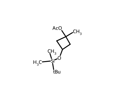 CC(=O)OC1(C)CC(O[Si](C)(C)C(C)(C)C)C1